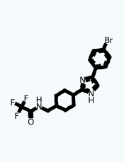 O=C(NCC1CCC(c2nc(-c3ccc(Br)cc3)c[nH]2)CC1)C(F)(F)F